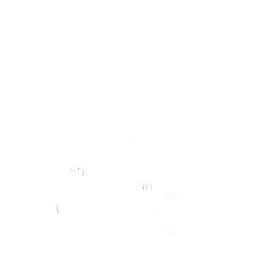 CCC1CC(NS(C)(=O)=O)C(CO[C@H]2CC[C@@H](c3ccccc3)CC2)N1